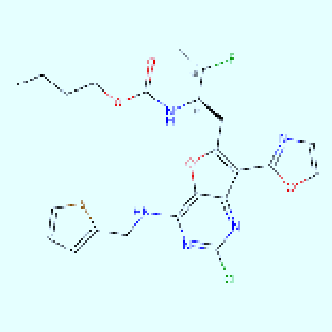 CCCCOC(=O)N[C@H](Cc1oc2c(NCc3cccs3)nc(Cl)nc2c1-c1ncco1)[C@H](C)F